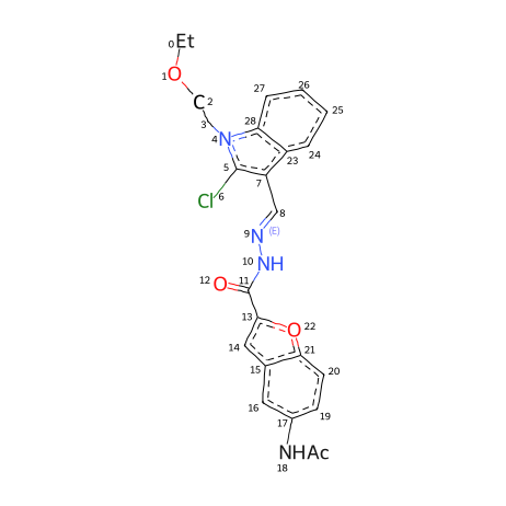 CCOCCn1c(Cl)c(/C=N/NC(=O)c2cc3cc(NC(C)=O)ccc3o2)c2ccccc21